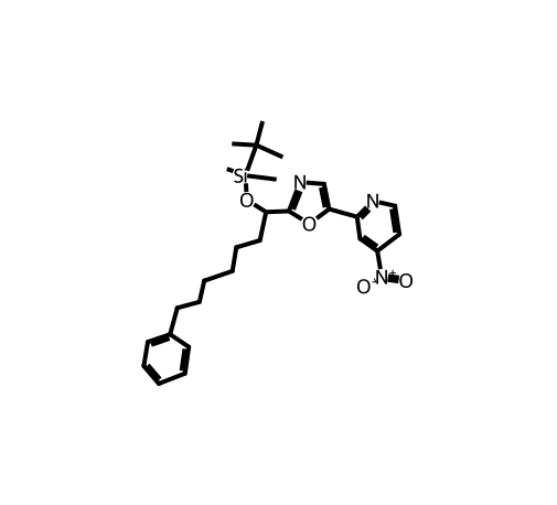 CC(C)(C)[Si](C)(C)OC(CCCCCCc1ccccc1)c1ncc(-c2cc([N+](=O)[O-])ccn2)o1